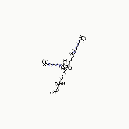 CCCOCCC(=O)NCCOCCOCCNC(=O)[C@@H](CCCCCC(=O)/C=C(C)/C=C/C=C(C)/C=C/C1=C(C)CCCC1(C)C)NC(=O)/C=C(C)/C=C/C=C(C)/C=C/C1=C(C)CCCC1(C)C